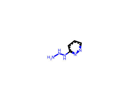 NNNc1cccnn1